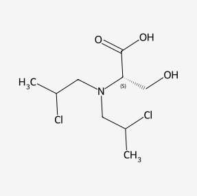 CC(Cl)CN(CC(C)Cl)[C@@H](CO)C(=O)O